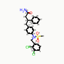 CS(=O)(=O)N(Cc1cccc(Cl)c1Cl)c1ccc(CC(CC(N)=O)c2ccccc2)cc1